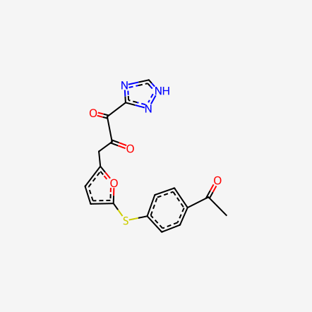 CC(=O)c1ccc(Sc2ccc(CC(=O)C(=O)c3nc[nH]n3)o2)cc1